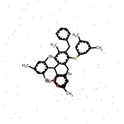 Cc1[c]c(C)cc(Sc2c(Cc3ccccc3)c(C)[c]c(C(c3c(C(C)(C)C)cc(C)cc3C(C)(C)C)c3c(C(C)(C)C)cc(C)cc3C(C)(C)C)c2Cc2ccccc2)c1